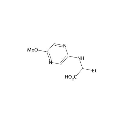 CCC(Nc1cnc(OC)cn1)C(=O)O